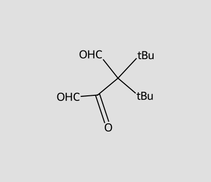 CC(C)(C)C(C=O)(C(=O)C=O)C(C)(C)C